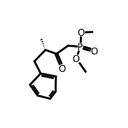 COP(=O)(CC(=O)[C@@H](C)Cc1ccccc1)OC